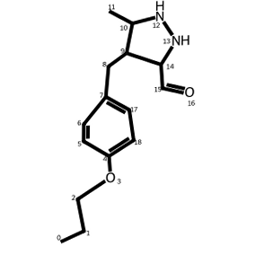 CCCOc1ccc(CC2C(C)NNC2C=O)cc1